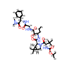 CCCC(NC(=O)[C@@H]1[C@H]2[C@@H](CN1C(=O)[C@@H](NC(=O)OC(C)C)C(C)(C)C)C2(C)C)C(=O)C(=O)NCC(=O)N[C@H](C(=O)N(C)C)c1ccccc1